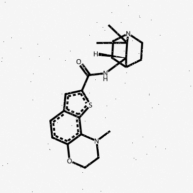 CN1CCOc2ccc3cc(C(=O)N[C@H]4C5CCN(CC5)C4(C)C)sc3c21